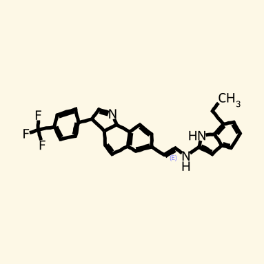 CCc1cccc2cc(N/C=C/c3ccc4c(c3)C=CC3C(c5ccc(C(F)(F)F)cc5)C=NC43)[nH]c12